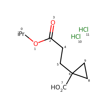 CC(C)OC(=O)CCC1(C(=O)O)CC1.Cl.Cl